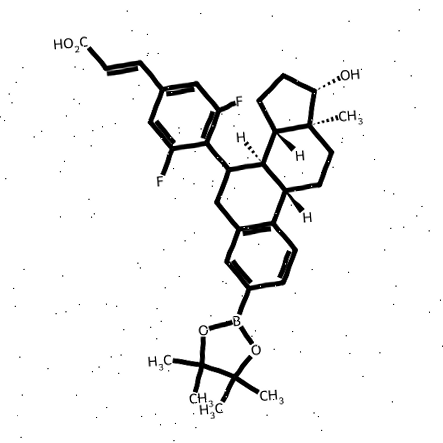 CC1(C)OB(c2ccc3c(c2)CC(c2c(F)cc(/C=C/C(=O)O)cc2F)[C@@H]2[C@@H]3CC[C@]3(C)[C@@H](O)CC[C@@H]23)OC1(C)C